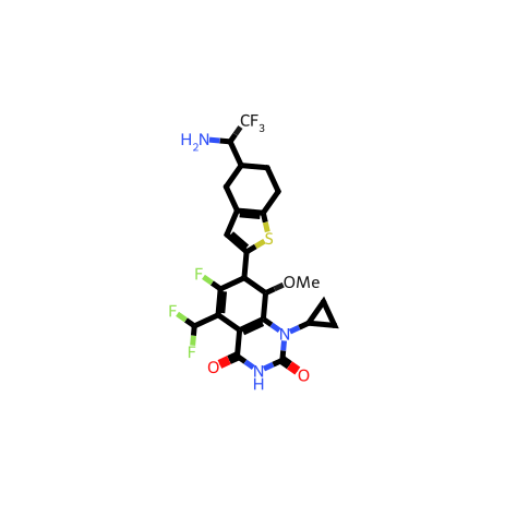 COC1c2c(c(=O)[nH]c(=O)n2C2CC2)C(C(F)F)=C(F)C1c1cc2c(s1)CCC(C(N)C(F)(F)F)C2